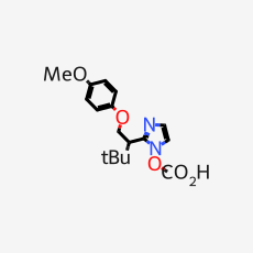 COc1ccc(OCC(c2nccn2OC(=O)O)C(C)(C)C)cc1